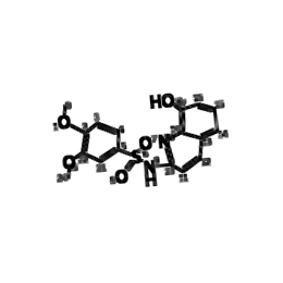 COc1ccc(S(=O)(=O)Nc2ccc3cccc(O)c3n2)cc1OC